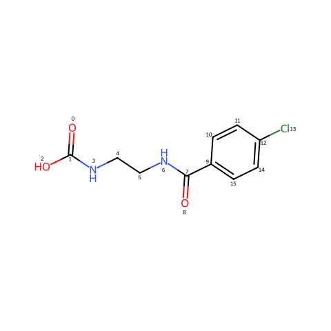 O=C(O)NCCNC(=O)c1ccc(Cl)cc1